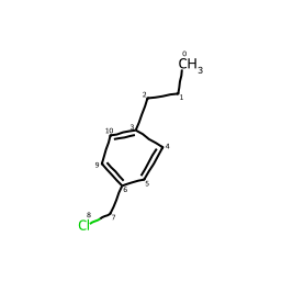 CCCc1ccc(CCl)cc1